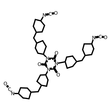 O=C=NC1CCC(CC2CCC(n3c(=O)n(C4CCC(CC5CCC(N=C=O)CC5)CC4)c(=O)n(C4CCC(CC5CCC(N=C=O)CC5)CC4)c3=O)CC2)CC1